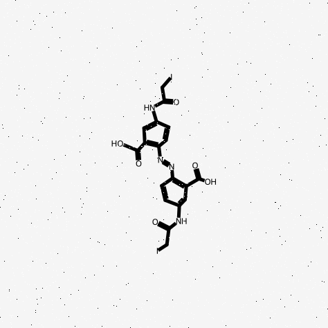 O=C(CI)Nc1ccc(N=Nc2ccc(NC(=O)CI)cc2C(=O)O)c(C(=O)O)c1